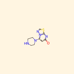 O=c1cc(N2CCNCC2)n2ncsc2n1